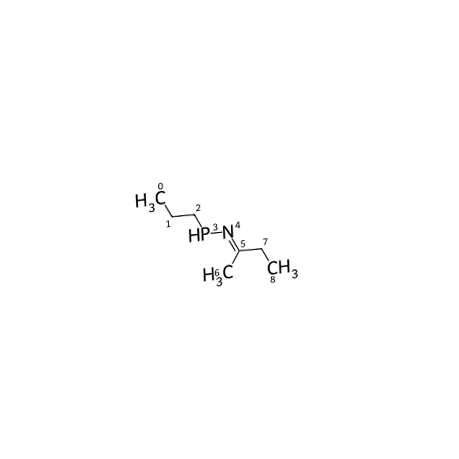 CCCP/N=C(\C)CC